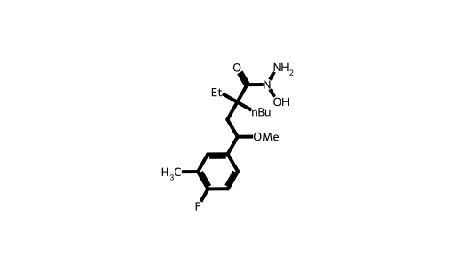 CCCCC(CC)(CC(OC)c1ccc(F)c(C)c1)C(=O)N(N)O